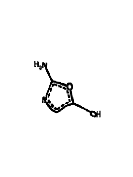 Nc1ncc(O)o1